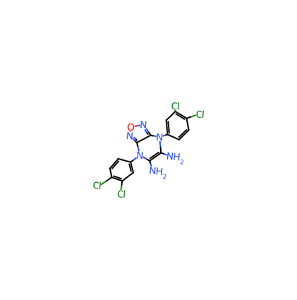 NC1=C(N)N(c2ccc(Cl)c(Cl)c2)c2nonc2N1c1ccc(Cl)c(Cl)c1